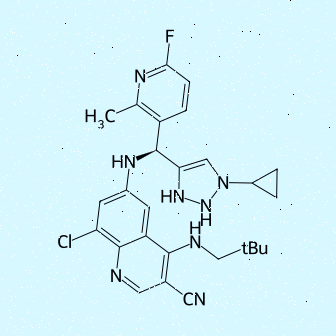 Cc1nc(F)ccc1[C@H](Nc1cc(Cl)c2ncc(C#N)c(NCC(C)(C)C)c2c1)C1=CN(C2CC2)NN1